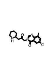 Cc1cc(Cl)cc2c(=O)n(CC(=O)CC3CCCCN3)cnc12